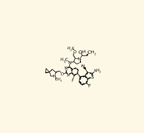 C=CC(O)N1CCC(N(C)c2nc(OCC3CC4(CC4)CN3C)nc3c(F)c(-c4ccc(F)c5sc(N)c(C#N)c45)ccc23)C1COC